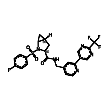 O=C(NCc1ccnc(-c2cnc(C(F)(F)F)nc2)c1)[C@@H]1C[C@H]2CC2N1S(=O)(=O)c1ccc(F)cc1